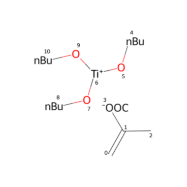 C=C(C)C(=O)[O-].CCCC[O][Ti+]([O]CCCC)[O]CCCC